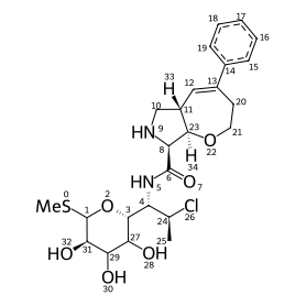 CSC1O[C@H]([C@H](NC(=O)[C@H]2NC[C@@H]3C=C(c4ccccc4)CCO[C@@H]23)[C@H](C)Cl)C(O)C(O)[C@H]1O